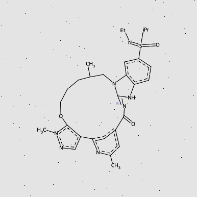 CCN=S(=O)(c1ccc2c(c1)N1CC(C)CCCOc3c(cnn3C)-c3cc(cc(C)n3)C(=O)/N=C/1N2)C(C)C